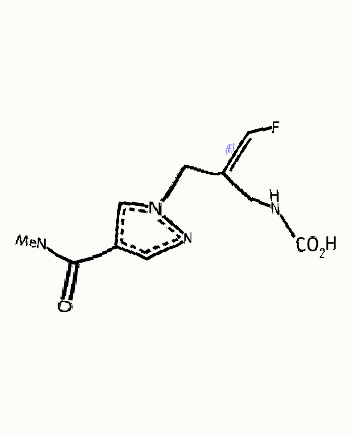 CNC(=O)c1cnn(C/C(=C/F)CNC(=O)O)c1